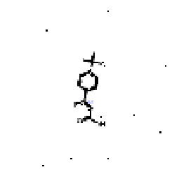 CC(C)(C)c1ccc(/C(I)=C/C(=O)O)cc1